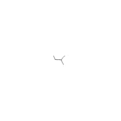 CCCC(C[S])C(C)C